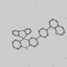 c1ccc2c(c1)Oc1ccc(-c3ccc(-c4cccc5cccnc45)cc3)cc1C21c2ccccc2-c2ccccc21